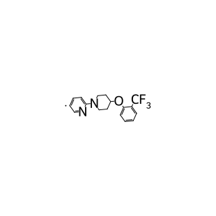 FC(F)(F)c1ccccc1OC1CCN(c2cc[c]cn2)CC1